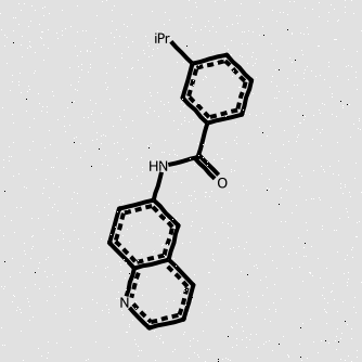 CC(C)c1cccc(C(=O)Nc2ccc3ncccc3c2)c1